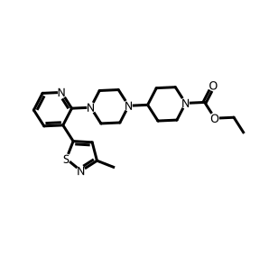 CCOC(=O)N1CCC(N2CCN(c3ncccc3-c3cc(C)ns3)CC2)CC1